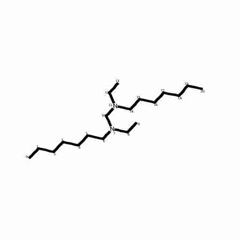 CCCCCCCN(CC)CN(CC)CCCCCCC